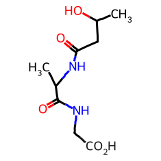 CC(O)CC(=O)NC(C)C(=O)NCC(=O)O